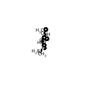 Cc1ccccc1C(=O)Nc1ccc(S(=O)(=O)Nc2ccc3ccn(CCN(C)C)c3c2)c2ccccc12